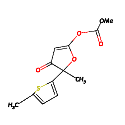 COC(=O)OC1=CC(=O)C(C)(c2ccc(C)s2)O1